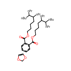 C1=COCO1.CCCCC(CCC)C(CCC)CCCCOC(=O)c1ccccc1C(=O)OCCCCC(CCC)C(CCC)CCCC